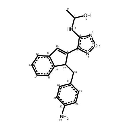 CC(O)Nc1nonc1C1=Cc2ccccc2C1Cc1ccc(N)cc1